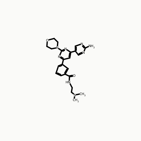 CN(C)CCNC(=O)c1cccc(-c2cc(-c3cnc(N)nc3)nc(N3CCOCC3)n2)c1